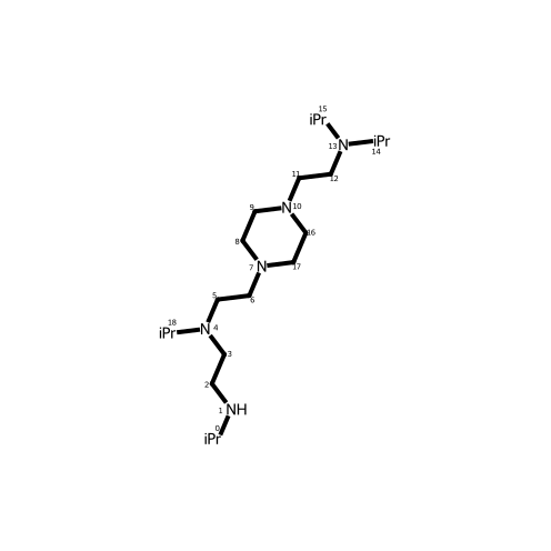 CC(C)NCCN(CCN1CCN(CCN(C(C)C)C(C)C)CC1)C(C)C